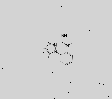 Cc1nnn(-c2ccccc2N(C)C=N)c1C